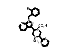 NN1CC(c2nn(Cc3ccccc3F)c3ncccc23)N(C(=O)O)CC1c1ncccn1